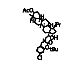 CC(=O)O[C@H]1CC[C@]2(C)[C@H]3CC[C@@H]4C5=C(C(C)C)CC[C@]5(C(O)CN(Cc5ccc(Cl)cc5)C(=O)OC(C)(C)C)CC[C@@]4(C)[C@]3(C)CC[C@H]2C1(C)C